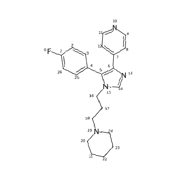 Fc1ccc(-c2c(-c3ccncc3)ncn2CCCN2CCCCC2)cc1